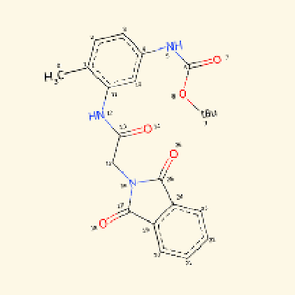 Cc1ccc(NC(=O)OC(C)(C)C)cc1NC(=O)CN1C(=O)c2ccccc2C1=O